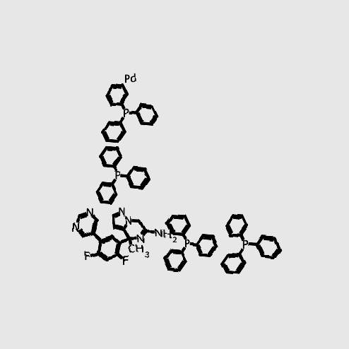 CC1(c2cc(-c3cncnc3)c(F)cc2F)N=C(N)Cn2nccc21.[Pd].c1ccc(P(c2ccccc2)c2ccccc2)cc1.c1ccc(P(c2ccccc2)c2ccccc2)cc1.c1ccc(P(c2ccccc2)c2ccccc2)cc1.c1ccc(P(c2ccccc2)c2ccccc2)cc1